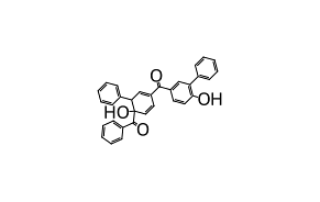 O=C(C1=CC(c2ccccc2)C(O)(C(=O)c2ccccc2)C=C1)c1ccc(O)c(-c2ccccc2)c1